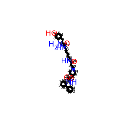 NC(Cc1ccc(O)cc1)C(=O)NCCCCCNC(=O)CCN1CCC(OC(=O)Nc2ccccc2-c2ccccc2)CC1